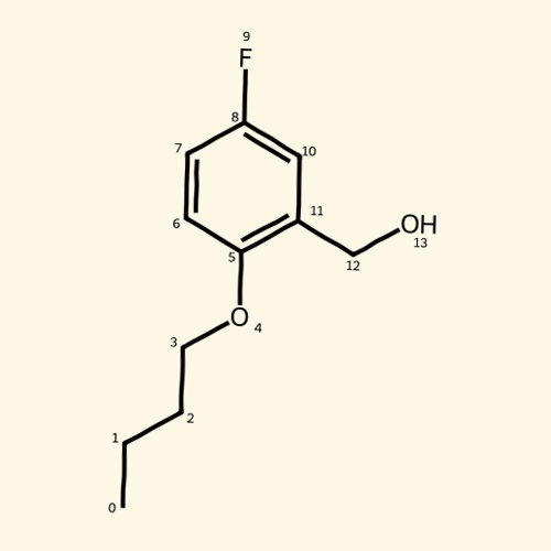 CCCCOc1ccc(F)cc1CO